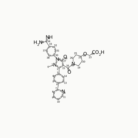 Cn1c(-c2ccc(-c3ccccn3)cc2)c(C(=O)N2CCC(OCC(=O)O)CC2)c(=O)n1-c1ccc(C(=N)N)cc1